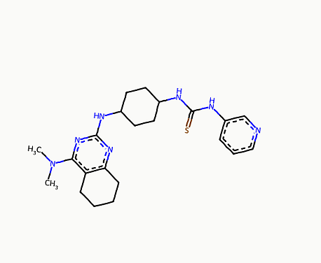 CN(C)c1nc(NC2CCC(NC(=S)Nc3cccnc3)CC2)nc2c1CCCC2